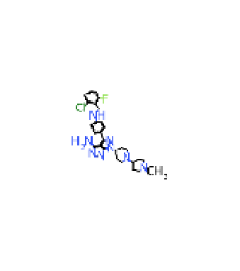 CN1CCC(N2CCC(n3nc(-c4ccc(NCc5c(F)cccc5Cl)cc4)c4c(N)ncnc43)CC2)CC1